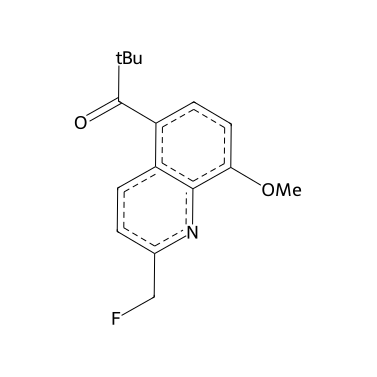 COc1ccc(C(=O)C(C)(C)C)c2ccc(CF)nc12